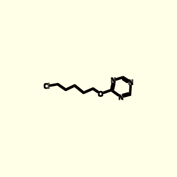 ClCCCCCOc1ncncn1